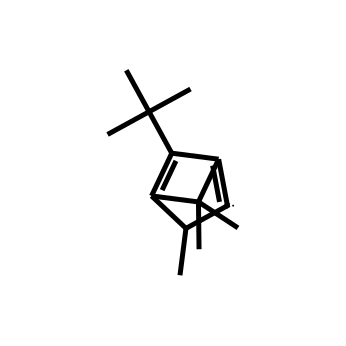 CC1[C]=C2C(C(C)(C)C)=C1C2(C)C